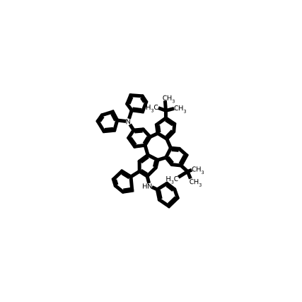 CC(C)(C)c1ccc2c(c1)-c1cc(N(c3ccccc3)c3ccccc3)ccc1-c1cc(-c3ccccc3)c(Nc3ccccc3)cc1-c1cc(C(C)(C)C)ccc1-2